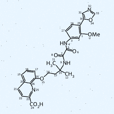 COc1cc(NC(=O)C(=O)NC(C)(C)CCOc2cccc3ccc(C(=O)O)nc23)ccc1-c1cnco1